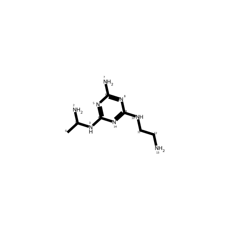 CC(N)Nc1nc(N)nc(NCCN)n1